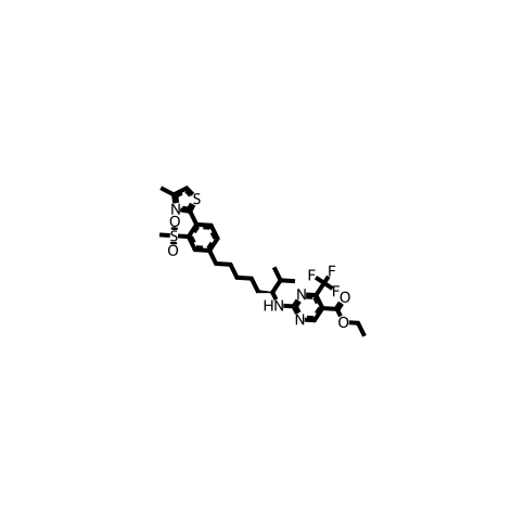 CCOC(=O)c1cnc(N[C@@H](CCCCCc2ccc(-c3nc(C)cs3)c(S(C)(=O)=O)c2)C(C)C)nc1C(F)(F)F